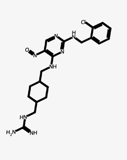 N=C(N)NCC1CCC(CNc2nc(NCc3ccccc3Cl)ncc2N=O)CC1